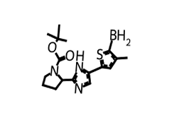 Bc1sc(-c2cnc(C3CCCN3C(=O)OC(C)(C)C)[nH]2)cc1C